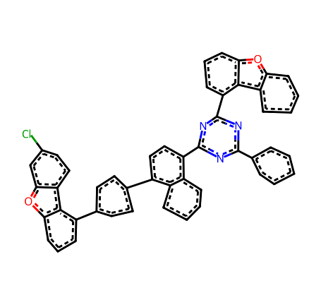 Clc1ccc2c(c1)oc1cccc(-c3ccc(-c4ccc(-c5nc(-c6ccccc6)nc(-c6cccc7oc8ccccc8c67)n5)c5ccccc45)cc3)c12